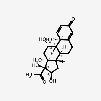 CC(=O)[C@@]1(O)[C@H](O)C[C@H]2[C@@H]3CCC4=CC(=O)C=C[C@]4(C)[C@@]3(F)[C@@H](O)C[C@@]21C